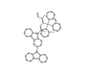 C=C/C(C)=C(\C=C(/C)n1c2ccccc2c2cc(-n3c4ccccc4c4ccccc43)ccc21)C(c1ccccc1C)(c1ccccc1C)c1ccccc1C